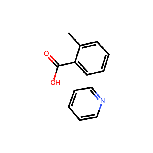 Cc1ccccc1C(=O)O.c1ccncc1